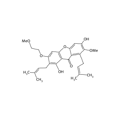 COCCOc1cc2oc3cc(O)c(OC)c(CC=C(C)C)c3c(=O)c2c(O)c1CC=C(C)C